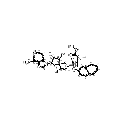 CC(C)OC(=O)[C@H](C)NP(=S)(OC[C@@]1(C(F)F)O[C@@H](n2cnc3c(N)ncnc32)[C@H](O)[C@H]1F)Oc1ccc2ccccc2c1